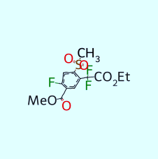 CCOC(=O)C(F)(F)c1cc(C(=O)OC)c(F)cc1S(C)(=O)=O